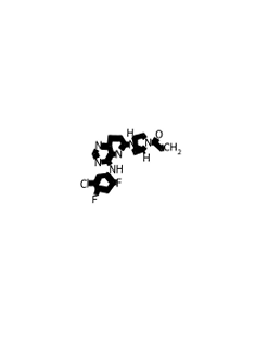 C=CC(=O)N1C[C@@H]2C[C@H]1CN2c1ccc2ncnc(Nc3cc(Cl)c(F)cc3F)c2n1